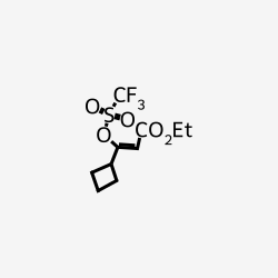 CCOC(=O)/C=C(\OS(=O)(=O)C(F)(F)F)C1CCC1